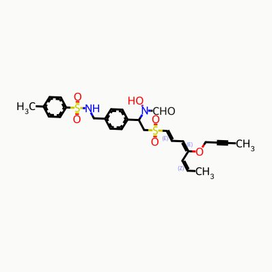 CC#CCOC(/C=C\C)=C/C=C/S(=O)(=O)CC(c1ccc(CNS(=O)(=O)c2ccc(C)cc2)cc1)N(O)C=O